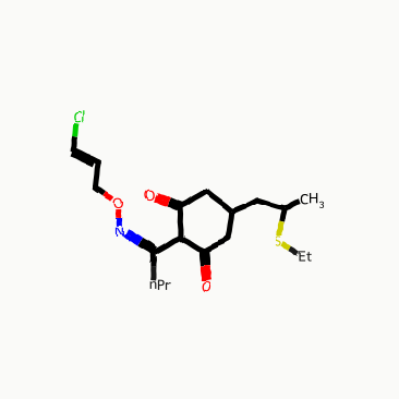 CCC/C(=N/OC/C=C/Cl)C1C(=O)CC(CC(C)SCC)CC1=O